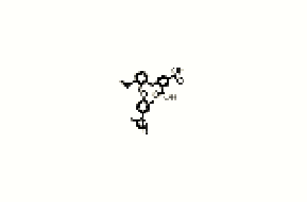 Cc1cc(-c2nn(C)cc2C)ccc1OCc1c(Cc2ccc(C(=O)O)cc2C(=O)O)cccc1C1CC1